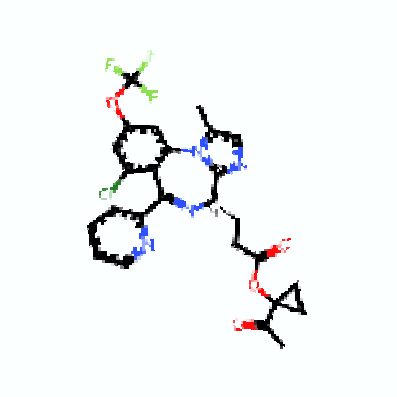 CC(=O)C1(OC(=O)CC[C@@H]2N=C(c3ccccn3)c3c(Cl)cc(OC(F)(F)F)cc3-n3c(C)cnc32)CC1